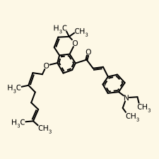 CCN(CC)c1ccc(C=CC(=O)c2ccc(OCC=C(C)CCC=C(C)C)c3c2OC(C)(C)C=C3)cc1